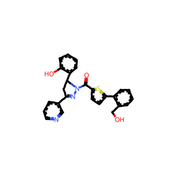 O=C(c1ccc(-c2ccccc2CO)s1)N1N=C(c2cccnc2)CC1c1ccccc1O